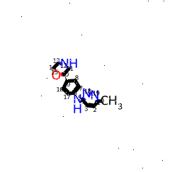 Cc1ccc(NC2=CCC([C@H]3CNCCO3)C=C2)nn1